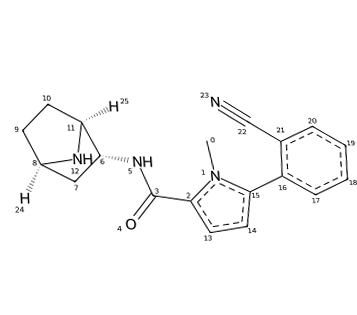 Cn1c(C(=O)N[C@@H]2C[C@H]3CC[C@@H]2N3)ccc1-c1ccccc1C#N